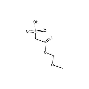 COCOC(=O)CS(=O)(=O)O